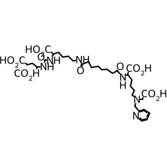 O=C(O)CCC(NC(=O)NC(CCCCNC(=O)CCCCCCC(=O)NC(CCCCN(CC(=O)O)Cc1ccccn1)C(=O)O)C(=O)O)C(=O)O